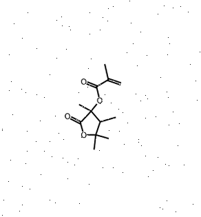 C=C(C)C(=O)OC1(C)C(=O)OC(C)(C)C1C